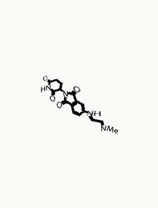 CNCCNc1ccc2c(c1)C(=O)N(C1CCC(=O)NC1=O)C2=O